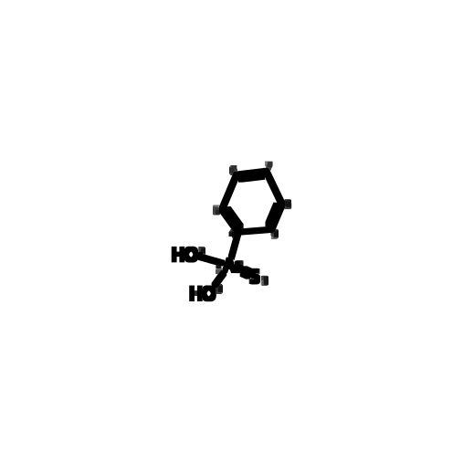 O[As](O)(=S)c1ccccc1